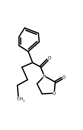 CCCCC(C(=O)N1CCOC1=O)c1ccccc1